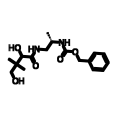 C[C@@H](CNC(=O)C(O)C(C)(C)CO)NC(=O)OCc1ccccc1